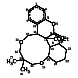 CCOC(=O)C12C(=O)Oc3ccccc3C1COCC(C)(C)COC1CCCCC12